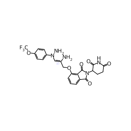 N/C(=C\N(N)c1ccc(OC(F)(F)F)cc1)COc1cccc2c1C(=O)N(C1CCC(=O)NC1=O)C2=O